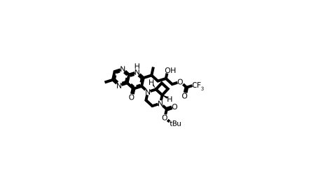 Cc1cnc2[nH]c(C(C)CC(O)COC(=O)C(F)(F)F)c(N3CCN(C(=O)OC(C)(C)C)[C@H]4CC[C@@H]43)c(=O)c2n1